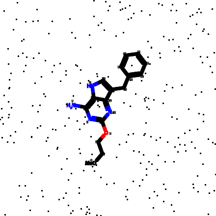 COCCOc1nc(N)c2[nH]cc(Cc3ccccc3)c2n1